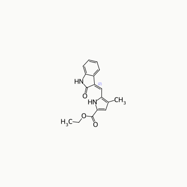 CCOC(=O)c1cc(C)c(/C=C2\C(=O)Nc3ccccc32)[nH]1